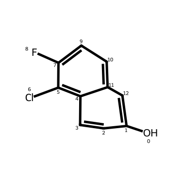 Oc1ccc2c(Cl)c(F)ccc2c1